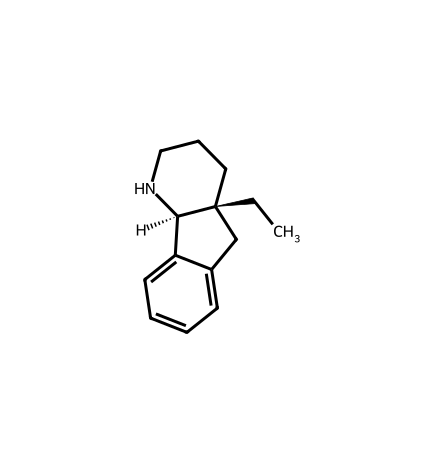 CC[C@]12CCCN[C@@H]1c1ccccc1C2